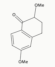 COc1ccc2c(c1)CCC(OC)C2=O